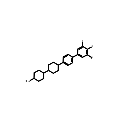 Fc1cc(-c2ccc(C3CCC(C4CC[CH]([RaH])CC4)CC3)cc2)cc(F)c1F